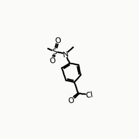 CN(c1ccc(C(=O)Cl)cc1)S(C)(=O)=O